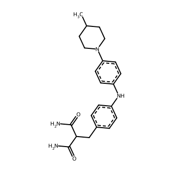 CC1CCN(c2ccc(Nc3ccc(CC(C(N)=O)C(N)=O)cc3)cc2)CC1